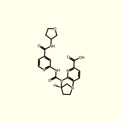 O=C(NC1CCOC1)c1ccnc(NC(=O)N2c3nc(C(=O)O)ccc3N3CC[C@H]2C3)c1